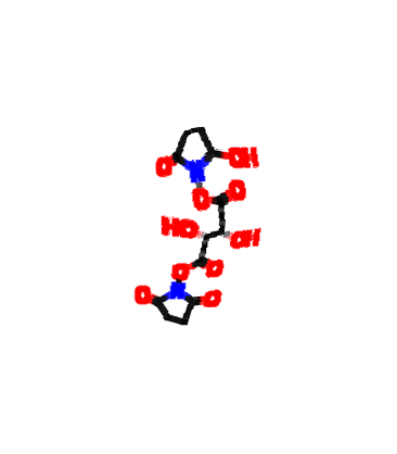 O=C(ON1C(=O)CCC1=O)[C@H](O)[C@@H](O)C(=O)ON1C(=O)CCC1O